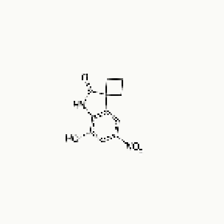 O=C1Nc2c(O)cc([N+](=O)[O-])cc2C12CCC2